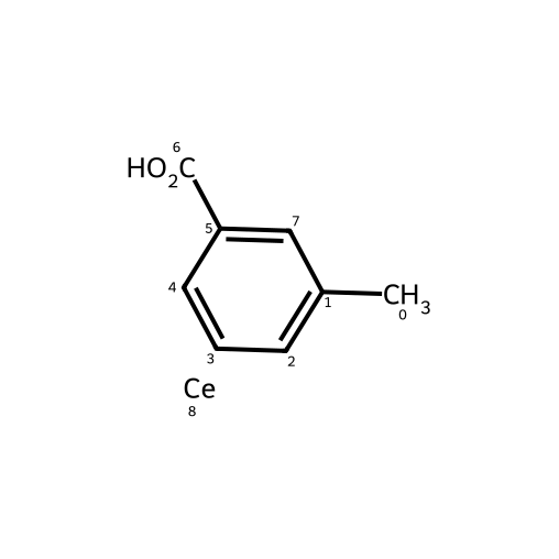 Cc1cccc(C(=O)O)c1.[Ce]